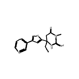 CCC1(c2cc(-c3cccnc3)cs2)CC(=O)N(C)C(=N)N1